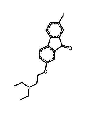 CCN(CC)CCOc1ccc2c(c1)C(=O)c1cc(I)ccc1-2